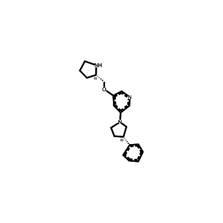 c1ccc([C@@H]2CCN(c3cncc(OC[C@@H]4CCCN4)c3)C2)cc1